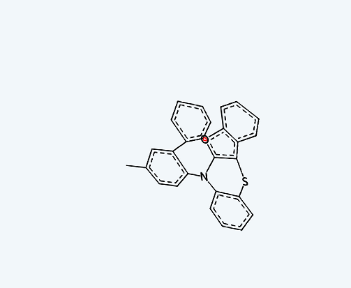 Cc1ccc(N2c3ccccc3Sc3c2oc2ccccc32)c(-c2ccccc2)c1